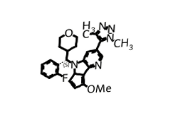 COC1=C2c3ncc(-c4c(C)nnn4C)cc3N([C@H](c3ccccc3F)C3CCOCC3)C2C=C1